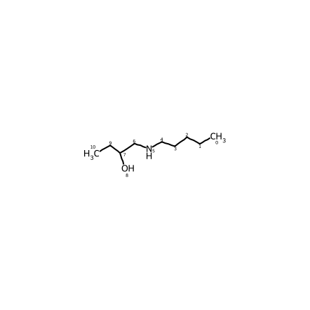 CCCCCNCC(O)CC